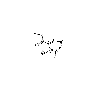 CCC(=O)c1cccc(C)c1S